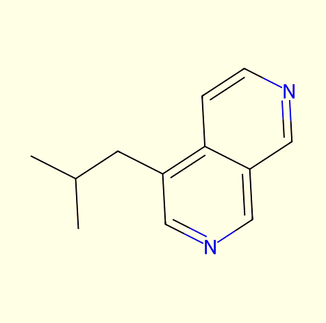 CC(C)Cc1cncc2cnccc12